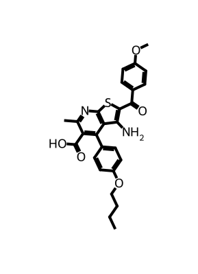 CCCCOc1ccc(-c2c(C(=O)O)c(C)nc3sc(C(=O)c4ccc(OC)cc4)c(N)c23)cc1